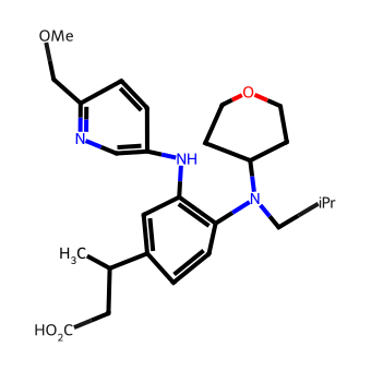 COCc1ccc(Nc2cc(C(C)CC(=O)O)ccc2N(CC(C)C)C2CCOCC2)cn1